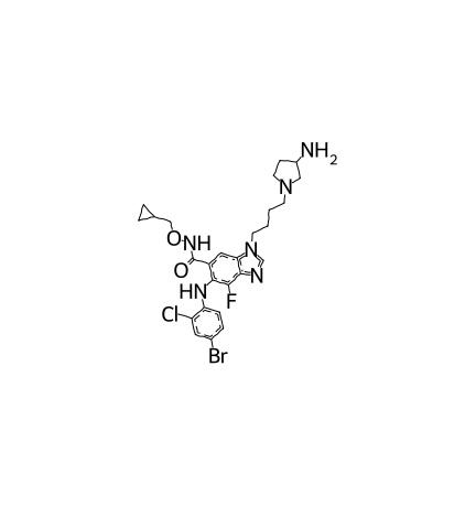 NC1CCN(CCCCn2cnc3c(F)c(Nc4ccc(Br)cc4Cl)c(C(=O)NOCC4CC4)cc32)C1